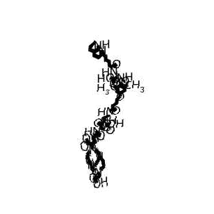 Cc1cc(OCCCC(=O)NCCNC(=O)C(CS(=O)(=O)O)NC(=O)CCC(C(=O)O)N2CCCN3CCN(CCCN(CC(=O)O)CC3)CC2)cc(C)c1S(=O)(=O)N[C@@H](CNC(=O)CCCCc1ccc2c(n1)NCCC2)C(=O)O